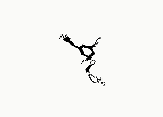 CCOC1(F)C=C(C#N)C=C(F)C1